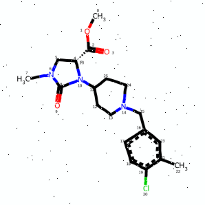 COC(=O)[C@H]1CN(C)C(=O)N1C1CCN(Cc2ccc(Cl)c(C)c2)CC1